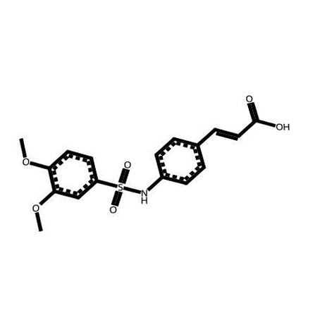 COc1ccc(S(=O)(=O)Nc2ccc(/C=C/C(=O)O)cc2)cc1OC